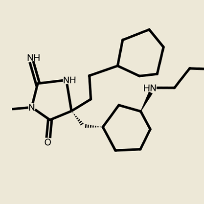 CCCN[C@H]1CCC[C@H](C[C@@]2(CCC3CCCCC3)NC(=N)N(C)C2=O)C1